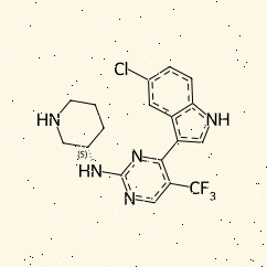 FC(F)(F)c1cnc(N[C@H]2CCCNC2)nc1-c1c[nH]c2ccc(Cl)cc12